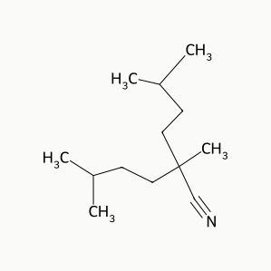 CC(C)CCC(C)(C#N)CCC(C)C